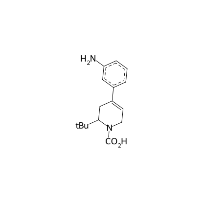 CC(C)(C)C1CC(c2cccc(N)c2)=CCN1C(=O)O